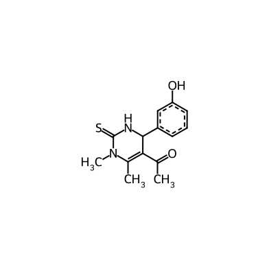 CC(=O)C1=C(C)N(C)C(=S)NC1c1cccc(O)c1